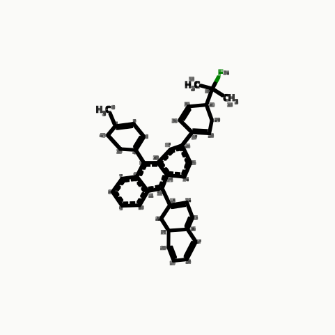 CC1=CC=C(c2c3ccccc3c(C3=CC=C4C=CC=CC4C3)c3ccc(C4=CCC(C(C)(C)F)C=C4)cc23)CC1